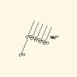 CCCCCCCCCC(=O)[O-].CCCCCCCCCC(=O)[O-].CCCCCCCCCC(=O)[O-].CCCCCCCCCC(=O)[O-].CCCCCCCCCC(=O)[O-].CCCCCCCCCC(=O)[O-].[Nb+3].[Nb+3]